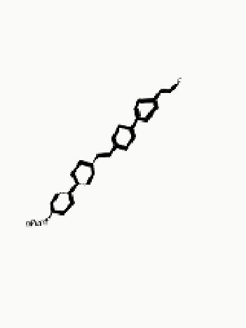 CCCCC[C@H]1CC[C@H]([C@H]2CC[C@H](CCC3CCC(c4ccc(CCF)cc4)CC3)CC2)CC1